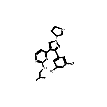 CC(C)CNc1nccc(-c2cn([C@@H]3CCNC3)nc2-c2cc(O)cc(Cl)c2)n1